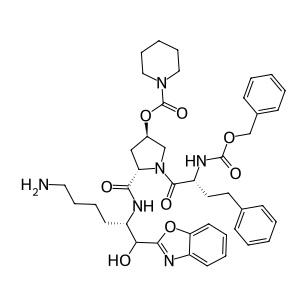 NCCCC[C@H](NC(=O)[C@@H]1C[C@@H](OC(=O)N2CCCCC2)CN1C(=O)[C@@H](CCc1ccccc1)NC(=O)OCc1ccccc1)C(O)c1nc2ccccc2o1